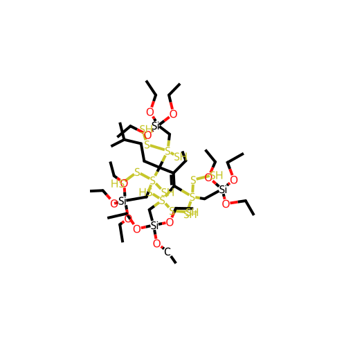 CCO[Si](CS(S)(SS)C(=C(CC)C(CCC(C)C)(S(S)(C[Si](OCC)(OCC)OCC)SS)S(S)(C[Si](OCC)(OCC)OCC)SS)S(S)(C[Si](OCC)(OCC)OCC)SS)(OCC)OCC